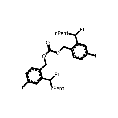 CCCCCC(CC)c1cc(I)ccc1COC(=O)OCc1ccc(I)cc1C(CC)CCCCC